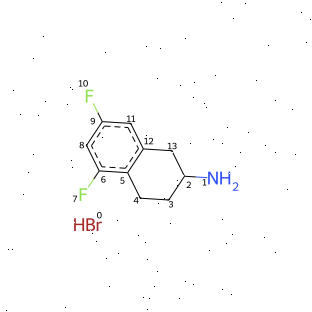 Br.NC1CCc2c(F)cc(F)cc2C1